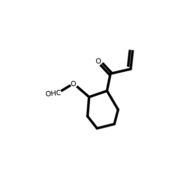 C=CC(=O)C1CCCCC1OC=O